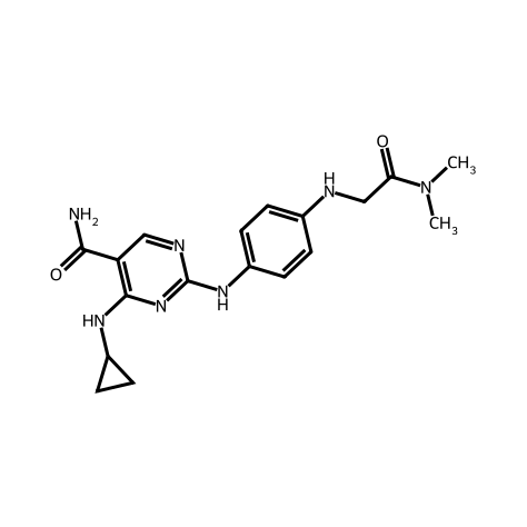 CN(C)C(=O)CNc1ccc(Nc2ncc(C(N)=O)c(NC3CC3)n2)cc1